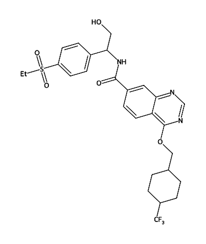 CCS(=O)(=O)c1ccc(C(CO)NC(=O)c2ccc3c(OCC4CCC(C(F)(F)F)CC4)ncnc3c2)cc1